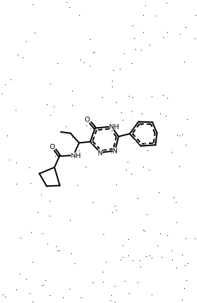 CCC(NC(=O)C1CCC1)c1nnc(-c2ccccc2)[nH]c1=O